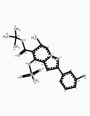 Cc1cn2nc(-c3cccc(Br)c3)cc2c(OS(C)(=O)=O)c1C(=O)OC(C)(C)C